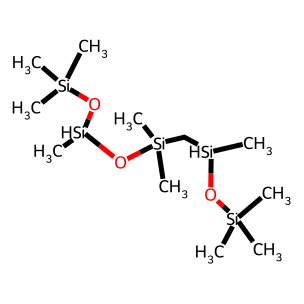 C[SiH](C[Si](C)(C)O[SiH](C)O[Si](C)(C)C)O[Si](C)(C)C